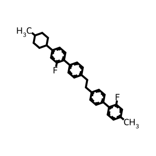 Cc1ccc(-c2ccc(CCc3ccc(-c4ccc(C5CCC(C)CC5)cc4F)cc3)cc2)c(F)c1